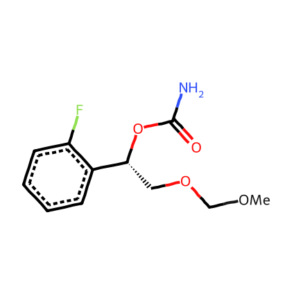 COCOC[C@@H](OC(N)=O)c1ccccc1F